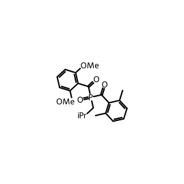 COc1cccc(OC)c1C(=O)P(=O)(CC(C)C)C(=O)c1c(C)cccc1C